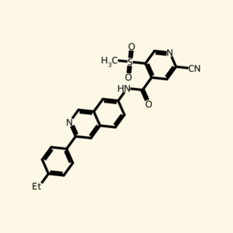 CCc1ccc(-c2cc3ccc(NC(=O)c4cc(C#N)ncc4S(C)(=O)=O)cc3cn2)cc1